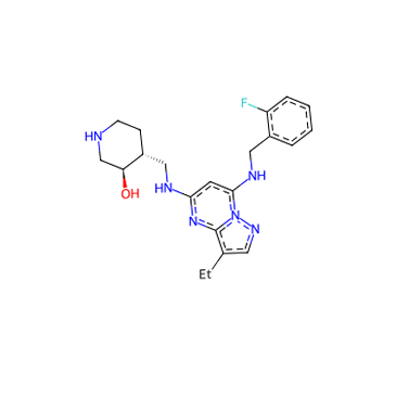 CCc1cnn2c(NCc3ccccc3F)cc(NC[C@H]3CCNC[C@@H]3O)nc12